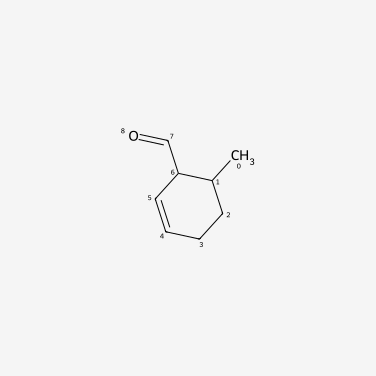 CC1CCC=CC1C=O